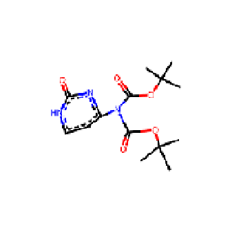 CC(C)(C)OC(=O)N(C(=O)OC(C)(C)C)c1[c]c[nH]c(=O)n1